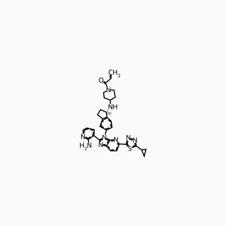 C=CC(=O)N1CCC(N[C@H]2CCc3cc(-n4c(-c5cccnc5N)nc5ccc(-c6nnc(C7CC7)s6)nc54)ccc32)CC1